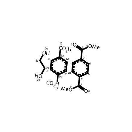 COC(=O)c1ccc(C(=O)OC)cc1.O=C(O)c1ccc(C(=O)O)cc1.OCCO